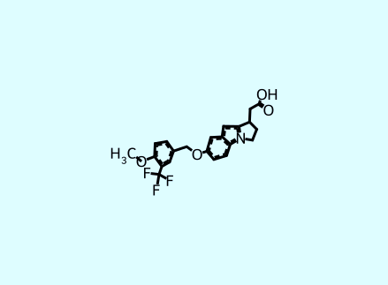 COc1ccc(COc2ccc3c(c2)cc2n3CCC2CC(=O)O)cc1C(F)(F)F